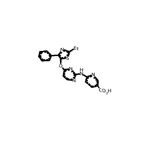 CCc1nc(-c2ccccc2)c(Oc2ccnc(Nc3ccc(C(=O)O)cn3)n2)s1